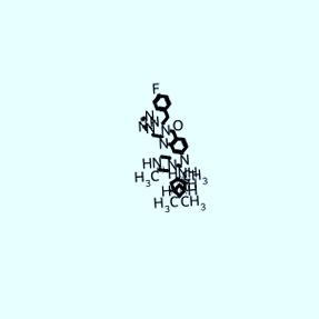 C[C@H]1[C@@H](NC(=Nc2ccc3c(=O)n(CCc4ccc(F)cc4)c(Cn4ncnn4)nc3c2)N2CCN[C@@H](C)C2)C[C@@H]2C[C@@H]1C2(C)C